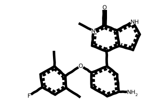 Cc1cc(F)cc(C)c1Oc1ccc(N)cc1-c1cn(C)c(=O)c2[nH]ccc12